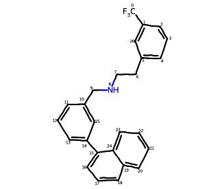 FC(F)(F)c1cccc(CCNCc2cccc(-c3cccc4ccccc34)c2)c1